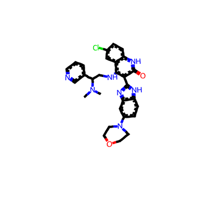 CN(C)C(CNc1c(-c2nc3cc(N4CCOCC4)ccc3[nH]2)c(=O)[nH]c2ccc(Cl)cc12)c1cccnc1